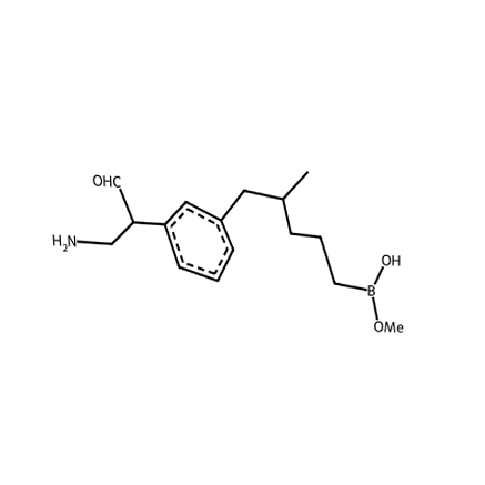 COB(O)CCCC(C)Cc1cccc(C(C=O)CN)c1